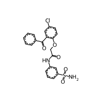 NS(=O)(=O)c1cccc(NC(=O)COc2ccc(Cl)cc2C(=O)c2ccccc2)c1